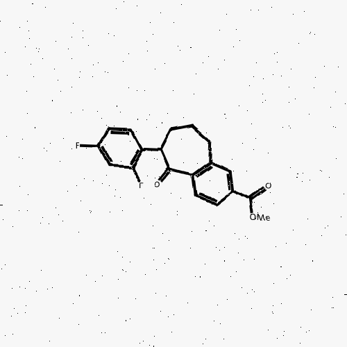 COC(=O)c1ccc2c(c1)CCCC(c1ccc(F)cc1F)C2=O